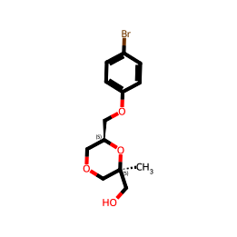 C[C@]1(CO)COC[C@@H](COc2ccc(Br)cc2)O1